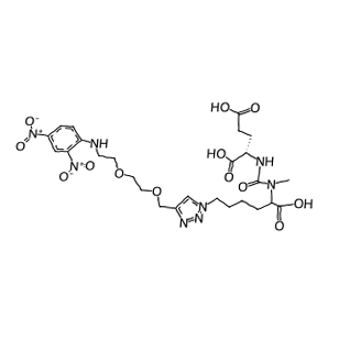 CN(C(=O)N[C@@H](CCC(=O)O)C(=O)O)C(CCCCn1cc(COCCOCCNc2ccc([N+](=O)[O-])cc2[N+](=O)[O-])nn1)C(=O)O